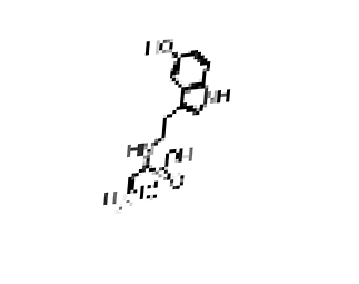 C=CC(NCCc1c[nH]c2ccc(O)cc12)P(=O)(O)O